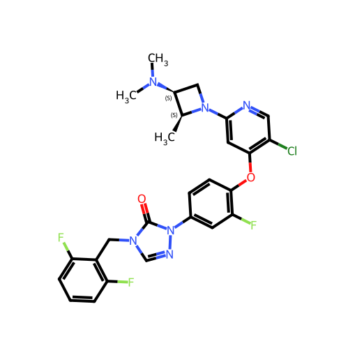 C[C@H]1[C@@H](N(C)C)CN1c1cc(Oc2ccc(-n3ncn(Cc4c(F)cccc4F)c3=O)cc2F)c(Cl)cn1